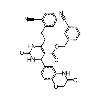 N#Cc1cccc(COC(=O)C2=C(CCc3ccccc3C#N)NC(=O)NC2c2ccc3c(c2)NC(=O)CO3)c1